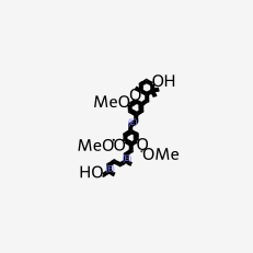 COCOc1cc(/C=C/c2cc3c(c(OC)c2)OC2(C)CCC(O)C(C)(C)C2C3)cc(OCOC)c1C/C=C(\C)CC/C=C(\C)CO